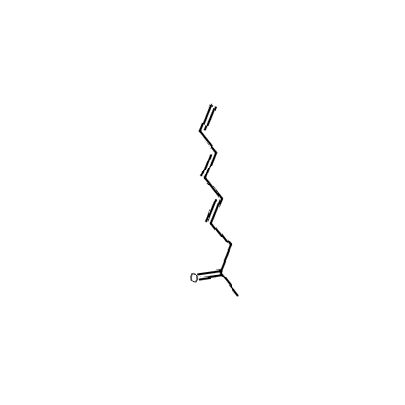 C=C/C=C/C=C/CC(C)=O